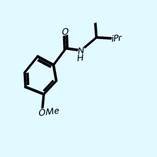 COc1cccc(C(=O)NC(C)C(C)C)c1